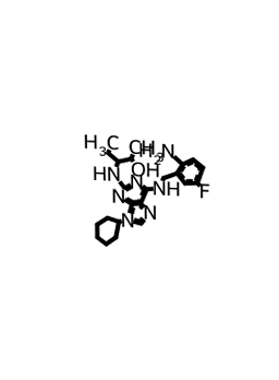 CCC(Nc1nc(NCc2cc(F)ccc2N)c2ncn(C3CCCCC3)c2n1)C(C)O